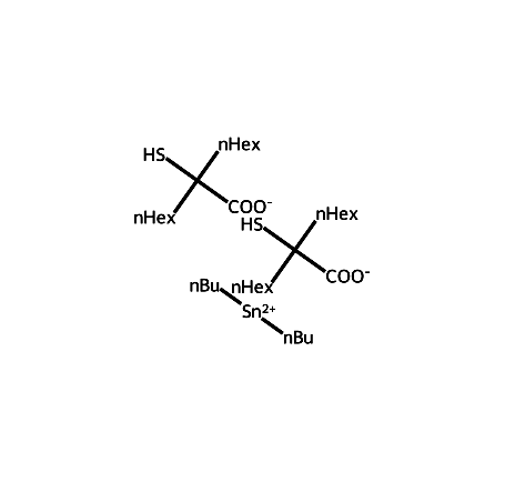 CCCCCCC(S)(CCCCCC)C(=O)[O-].CCCCCCC(S)(CCCCCC)C(=O)[O-].CCC[CH2][Sn+2][CH2]CCC